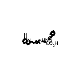 O=C(N[C@@H](CCN1CC2(CC(CCc3ccc4c(n3)NCCC4)C2)C1)C(=O)O)OCc1ccccc1